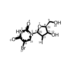 O=c1[nH]c(=O)n([C@H]2O[C@@H](CO)C(O)C2I)cc1Br